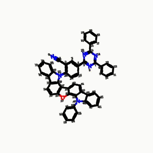 N#Cc1cc(-c2nc(-c3ccccc3)nc(-c3ccccc3)n2)ccc1-n1c2ccccc2c2ccc3oc4c(ccc5c6ccccc6n(-c6ccccc6)c54)c3c21